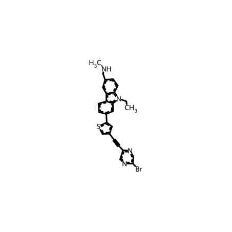 CCn1c2ccc(CNC)cc2c2ccc(-c3cc(C#Cc4cnc(Br)cn4)cs3)cc21